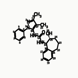 Cc1nn(-c2ccccc2)c(NC(=O)N[C@@H]2c3ccccc3CCC[C@H]2O)c1C